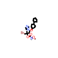 CON(C)C(=O)OC(C(Oc1ccc(-c2ccccc2)cc1)n1ccnc1)C(C)(C)CBr